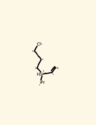 C=C[SiH](CCCCl)C(C)C